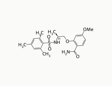 COc1ccc(C(N)=O)c(OC[C@H](C)NS(=O)(=O)c2c(C)cc(C)cc2C)c1